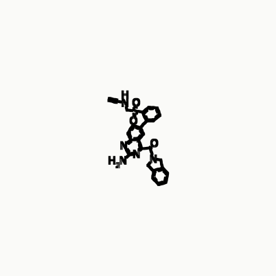 C#CNCS(=O)(=O)c1ccccc1-c1ccc2nc(N)nc(C(=O)N3Cc4ccccc4C3)c2c1